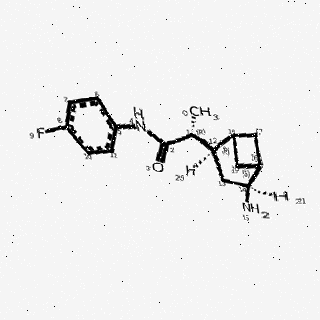 C[C@@H](C(=O)Nc1ccc(F)cc1)[C@@H]1C[C@H](N)C2CC1C2